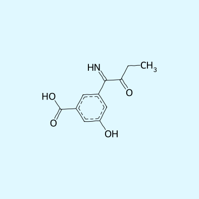 CCC(=O)C(=N)c1cc(O)cc(C(=O)O)c1